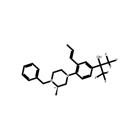 CC=Cc1cc(C(O)(C(F)(F)F)C(F)(F)F)ccc1N1CCN(Cc2ccccc2)[C@H](C)C1